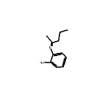 C[CH]CC(C)=Nc1ccccc1O